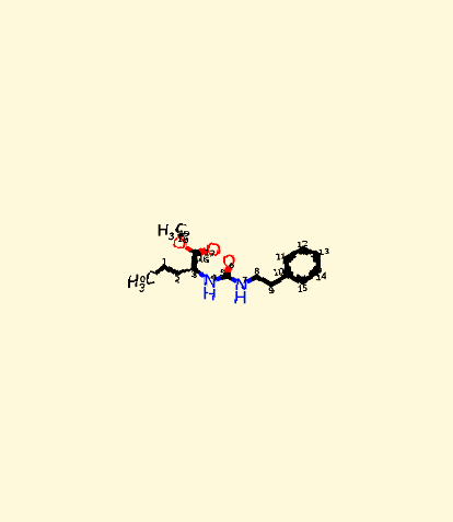 CCC[C@H](NC(=O)NCCc1ccccc1)C(=O)OC